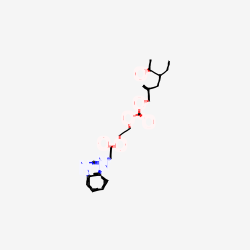 C=C(COC(=O)OCCOC(=O)Cn1cnc2ccccc21)CC(CC)C(C)=O